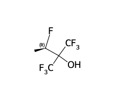 C[C@@H](F)C(O)(C(F)(F)F)C(F)(F)F